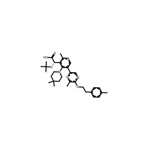 Cc1nc(-c2cnc(C)c([C@H](OC(C)(C)C)C(=O)O)c2N2CCC(C)(C)CC2)cnc1OCCc1ccc(F)cc1